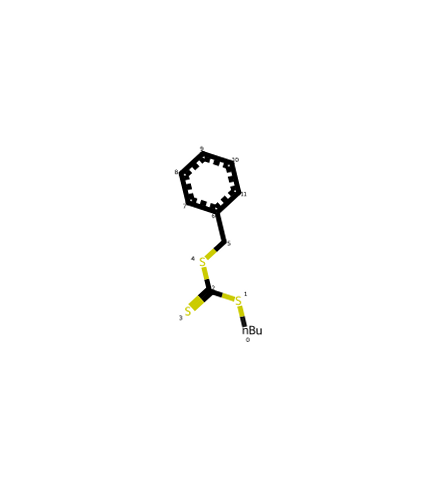 CCCCSC(=S)SCc1ccccc1